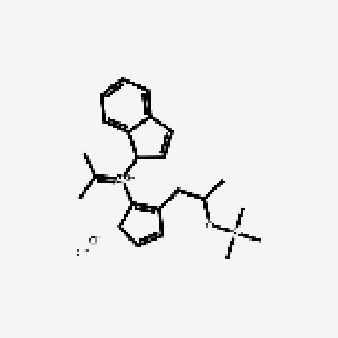 C[C](C)=[Zr+2]([C]1=C(CC(C)O[Si](C)(C)C)C=CC1)[CH]1C=Cc2ccccc21.[Cl-].[Cl-]